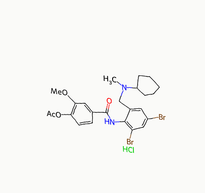 COc1cc(C(=O)Nc2c(Br)cc(Br)cc2CN(C)C2CCCCC2)ccc1OC(C)=O.Cl